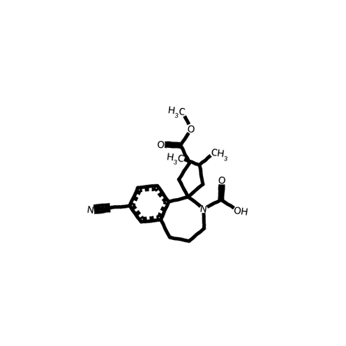 COC(=O)CCC1(CC(C)C)c2ccc(C#N)cc2CCCN1C(=O)O